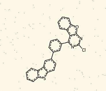 Clc1nc(-c2cccc(-c3ccc4sc5ccccc5c4c3)c2)c2c(n1)oc1ccccc12